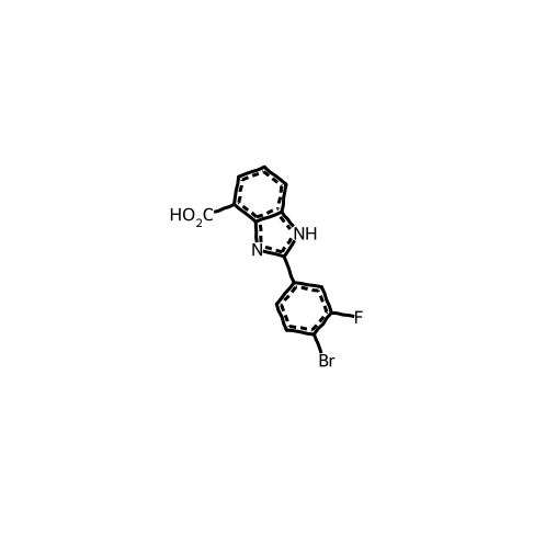 O=C(O)c1cccc2[nH]c(-c3ccc(Br)c(F)c3)nc12